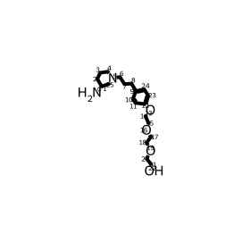 NC1CCCN(CCCc2ccc(OCCOCCOCCO)cc2)C1